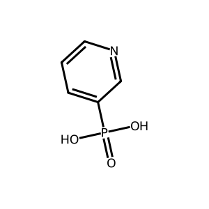 O=P(O)(O)c1cccnc1